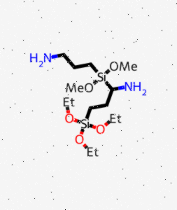 CCO[Si](CCC(N)[Si](CCCN)(OC)OC)(OCC)OCC